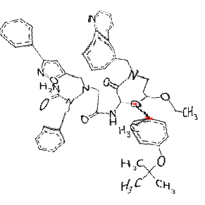 CCOC(CN(Cc1cccc2ncccc12)C(=O)[C@H](Cc1ccc(OC(C)(C)C)cc1)NC(=O)CN(Cc1cc(-c2ccccc2)no1)N(Cc1ccccc1)C(N)=O)OCC